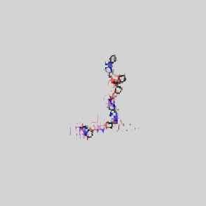 COc1cc(CNC[C@H](O)c2ccc(O)c3[nH]c(=O)ccc23)ccc1C(=O)N1CCC2(CCN(C(=O)COc3cccc(C(C(=O)OCC4CCN(Cc5ccccc5)CC4)c4ccccc4)c3)CC2)CC1